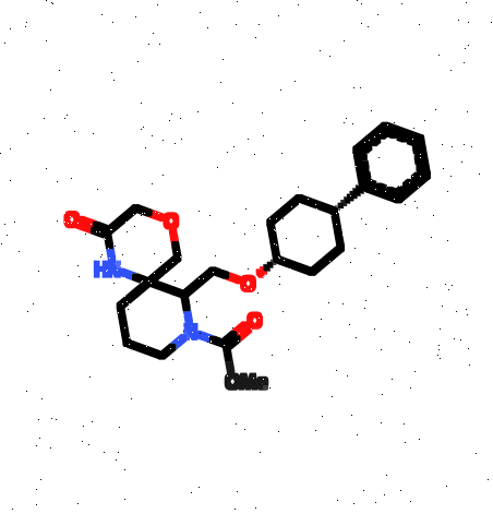 COC(=O)N1CCCC2(COCC(=O)N2)C1CO[C@H]1CC[C@@H](c2ccccc2)CC1